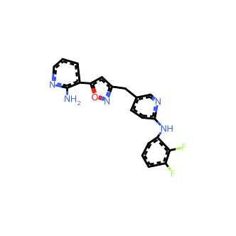 Nc1ncccc1-c1cc(Cc2ccc(Nc3cccc(F)c3F)nc2)no1